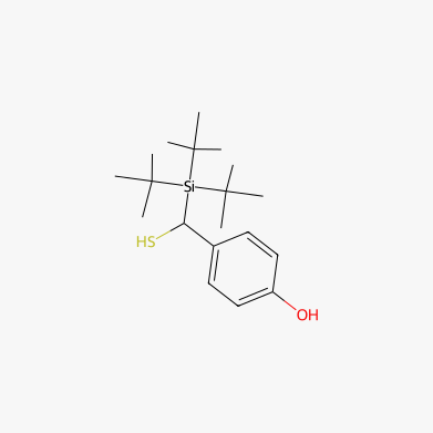 CC(C)(C)[Si](C(S)c1ccc(O)cc1)(C(C)(C)C)C(C)(C)C